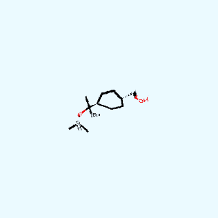 C[SiH](C)OC(C)([C@H]1CC[C@H](CO)CC1)C(C)(C)C